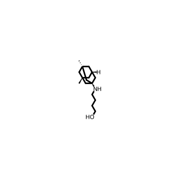 C[C@]12C[C@@H]3C[C@](C)(C1)C[C@](NCCCCO)(C3)C2